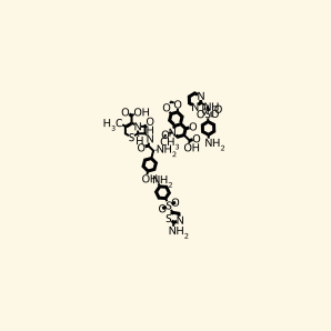 CC1=C(C(=O)O)N2C(=O)[C@@H](NC(=O)[C@H](N)c3ccc(O)cc3)[C@H]2SC1.COn1cc(C(=O)O)c(=O)c2cc3c(cc21)OCO3.Nc1ccc(S(=O)(=O)Nc2ncccn2)cc1.Nc1ccc(S(=O)(=O)c2cnc(N)s2)cc1.O